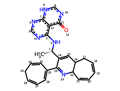 C[C@H](Nc1ncnc2[nH]cnc(=O)c12)C1=CC2CC=CC=CC2N=C1C1=CC=CCC=C1